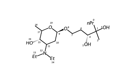 CCCC(C)(O)[C@H](O)CCO[C@H]1CC(N(CC)CC)[C@H](O)C(C)O1